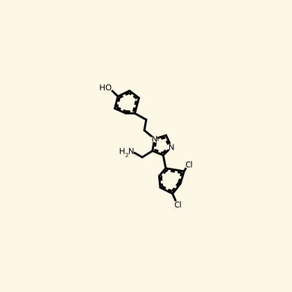 NCc1c(-c2ccc(Cl)cc2Cl)ncn1CCc1ccc(O)cc1